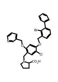 O=C(O)C1CCCN1Cc1cc(Cl)c(OCc2cccc(-c3ccccc3)c2Br)cc1OCc1cccnc1